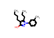 CCCCc1c(O)nn(-c2cccc(C)c2)c1CCC